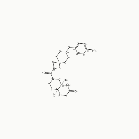 O=C1CO[C@H]2CCN(C(=O)N3CC4(CCC(Cc5ccc(C(F)(F)F)nc5)CC4)C3)C[C@H]2N1